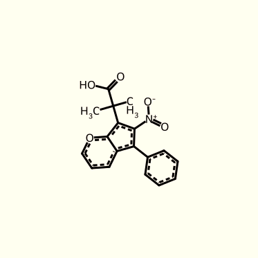 CC(C)(C(=O)O)c1c2occcc-2c(-c2ccccc2)c1[N+](=O)[O-]